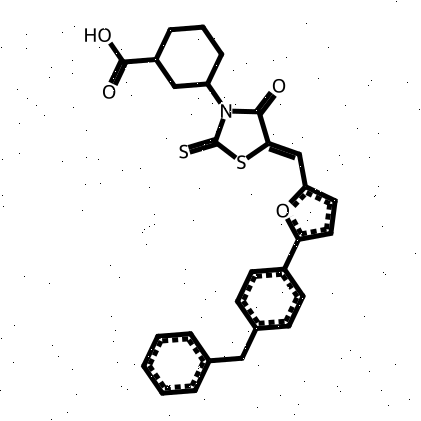 O=C(O)C1CCCC(N2C(=O)C(=Cc3ccc(-c4ccc(Cc5ccccc5)cc4)o3)SC2=S)C1